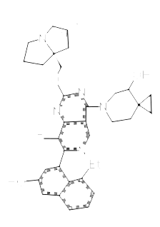 CCc1cccc2cc(O)cc(-c3ncc4c(N5CCC6(CC6)C(O)C5)nc(OC[C@@]56CCCN5C[C@H](F)C6)nc4c3F)c12